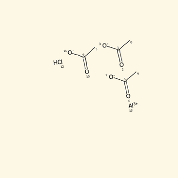 CC(=O)[O-].CC(=O)[O-].CC(=O)[O-].Cl.[Al+3]